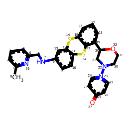 Cc1cccc(CNc2ccc3c(c2)Sc2cccc(C4CN(n5ccc(=O)cc5)CCO4)c2S3)n1